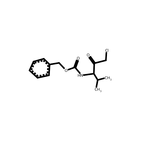 CC(C)C(NC(=O)OCc1ccccc1)C(=O)CCl